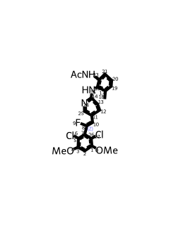 COc1cc(OC)c(Cl)c(/C(F)=C/c2ccc(Nc3c(C)cccc3NC(C)=O)nc2)c1Cl